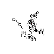 C[C@]12C=CC(=O)C=C1CCC1C2[C@@H](O)C[C@@]2(C)C1C[C@H]1O[C@@H](C3CCCCC3)O[C@]12C(=O)COC(=O)[C@H](CCCNC(=N)N)NC(=O)c1ccc[n+](Cc2cc(C(O)CNCCCCCCOCCCCc3ccccc3)ccc2OP(=O)(O)O)c1